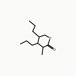 CCCC1COC(=O)C(C)C1CCC